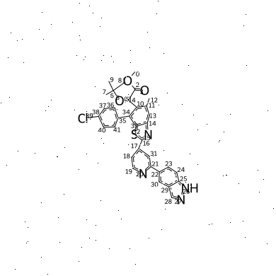 COC(=O)[C@@H](OC(C)(C)C)c1c(C)cc2nc(-c3ccnc(-c4ccc5[nH]ncc5c4)c3)sc2c1-c1ccc(Cl)cc1